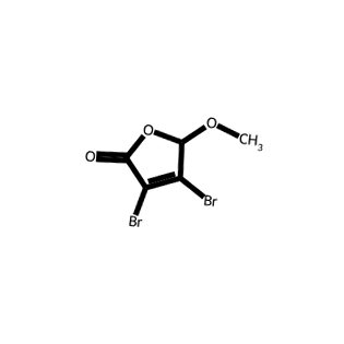 COC1OC(=O)C(Br)=C1Br